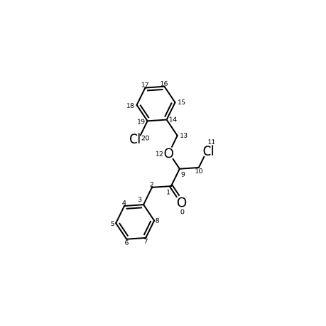 O=C(Cc1ccccc1)C(CCl)OCc1ccccc1Cl